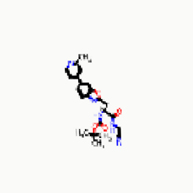 Cc1cc(-c2ccc3nc(C[C@H](NC(=O)OC(C)(C)C)C(=O)NCC#N)oc3c2)ccn1